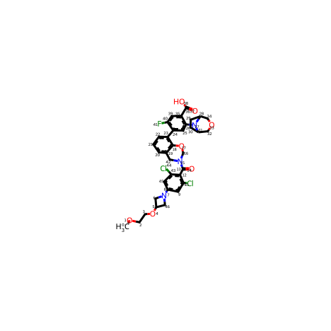 COCCOC1CN(c2cc(Cl)c(C(=O)N3COc4c(cccc4-c4cc(N5C6CCC5COC6)c(C(=O)O)cc4F)C3)c(Cl)c2)C1